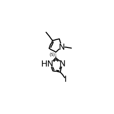 CC1=C[C@@H](c2nc(I)c[nH]2)N(C)C1